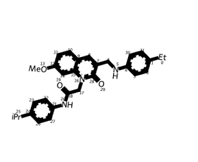 CCc1ccc(NCc2cc3ccc(OC)cc3n(CC(=O)Nc3ccc(C(C)C)cc3)c2=O)cc1